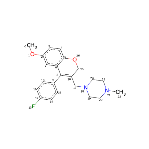 COc1ccc2c(c1)C(c1ccc(F)cc1)=C(CN1CCN(C)CC1)CO2